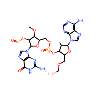 BCOCC1OC(n2cnc3c(N)ncnc32)C(F)C1O[PH](=O)OCC1OC(n2cnc3c(=O)[nH]c(N)nc32)C(OP=O)C1OC